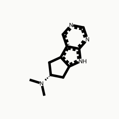 CN(C)[C@H]1Cc2[nH]c3ncncc3c2C1